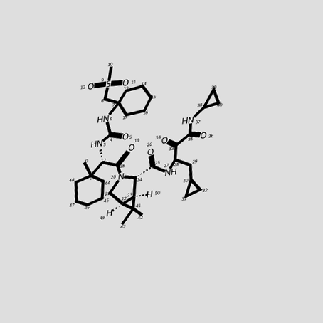 CC1([C@H](NC(=O)NC2(CS(C)(=O)=O)CCCCC2)C(=O)N2C[C@H]3[C@@H]([C@H]2C(=O)NC(CC2CC2)C(=O)C(=O)NC2CC2)C3(C)C)CCCCC1